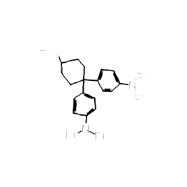 CCN(CC)c1ccc(C2(c3ccc(N(CC)CC)cc3)CCC(C)CC2)cc1